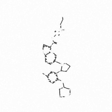 CN(CCF)S(=O)(=O)NC(=O)c1cnc2ccc(N3CCCC3c3cc(F)ccc3OC3CCOCC3)cn12